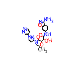 C[C@@H]1CN(c2ccn(-c3ccnnc3)n2)C(=O)[C@@H](C(O)C(=O)Nc2ccc3c(N)noc3c2)O1